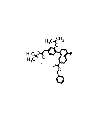 CC(C)Oc1cc(CC(=O)OC(C)(C)C)ccc1-c1ccc(F)c2c1CN(C(=O)OCc1ccccc1)CC2